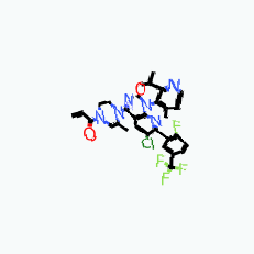 C=CC(=O)N1CCN(/C(=N/C)c2cc(Cl)c(-c3cc(C(F)(F)F)ccc3F)nc2N(C=O)c2c(C)ccnc2C(C)C)C(C)C1